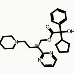 O=C(OC[C@H](CCN1CCCCC1)c1ncccn1)C(O)(c1ccccc1)C1CCCC1